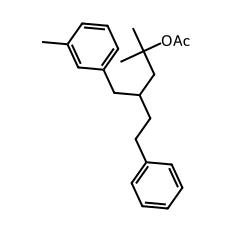 CC(=O)OC(C)(C)CC(CCc1ccccc1)Cc1cccc(C)c1